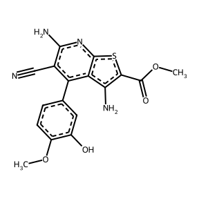 COC(=O)c1sc2nc(N)c(C#N)c(-c3ccc(OC)c(O)c3)c2c1N